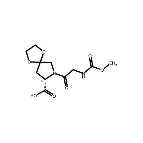 COC(=O)NCC(=O)N1CC2(C[C@H]1C(=O)O)OCCO2